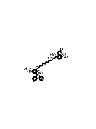 COc1cc(OCCCCCCCCCNCC(O)c2ccc(O)c3[nH]c(=O)ccc23)cc(C(c2ccccc2)N(C(=O)O)C2CN3CCC2CC3)c1